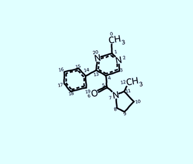 Cc1ncc(C(=O)N2CCCC2C)c(-c2ccccc2)n1